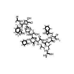 CNC(=N)NCCC[C@H](NC(=O)[C@H](CC(C)C)NC(=O)NNC(=O)[C@H](Cc1ccccc1)NC(=O)[C@@H](NC(=O)[C@H](CC(N)=O)NC(=O)[C@@H]1C(Cl)[C@@H](O)CN1C(=O)[C@H](Cc1ccccc1)NC(C)=O)[C@@H](C)O)C(=O)N[C@@H](Cc1c[nH]c2ccccc12)C(N)=O